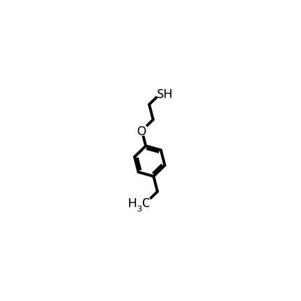 CCc1ccc(OCCS)cc1